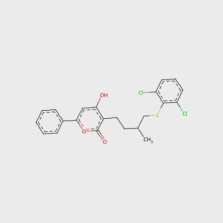 CC(CCc1c(O)cc(-c2ccccc2)oc1=O)CSc1c(Cl)cccc1Cl